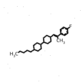 CCCCCC1CCC(C2CCC(/C=C(\C)c3ccc(F)cc3)CC2)CC1